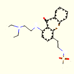 CCN(CC)CCNc1ccc(CCNS(C)(=O)=O)c2sc3ccccc3c(=O)c12